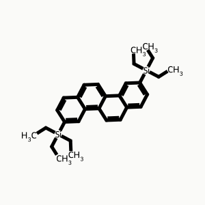 CC[Si](CC)(CC)c1ccc2ccc3c4cc([Si](CC)(CC)CC)ccc4ccc3c2c1